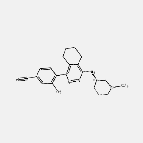 CN1CCC[C@@H](Nc2nnc(-c3ccc(C#N)cc3O)c3c2CCCC3)C1